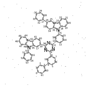 c1ccc(-c2cccc(-c3nc(-c4cccc(-n5c6ccccc6c6cc(-c7ccccc7)ccc65)c4)nc(-c4ccc5c6ccccc6n(-c6ccccc6)c5c4)n3)c2)cc1